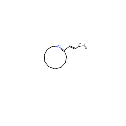 C/C=C/C1=N/CCCCCCCCC1